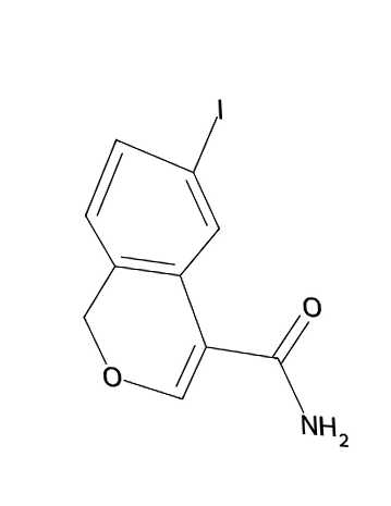 NC(=O)C1=COCc2ccc(I)cc21